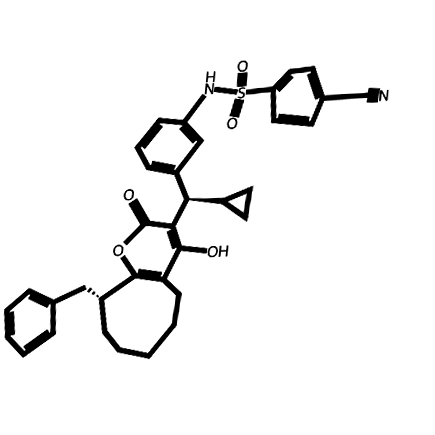 N#Cc1ccc(S(=O)(=O)Nc2cccc([C@H](c3c(O)c4c(oc3=O)[C@@H](Cc3ccccc3)CCCCC4)C3CC3)c2)cc1